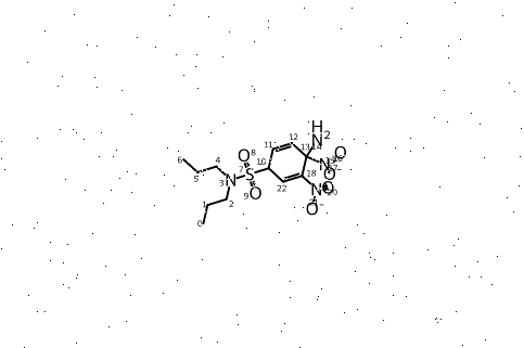 CCCN(CCC)S(=O)(=O)C1C=CC(N)([N+](=O)[O-])C([N+](=O)[O-])=C1